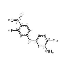 Nc1cc(Oc2ccc([N+](=O)[O-])c(F)c2)ccc1F